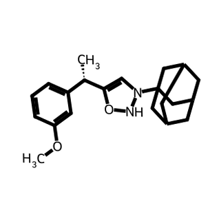 COc1cccc([C@H](C)C2=CN(C34CC5CC(CC(C5)C3)C4)NO2)c1